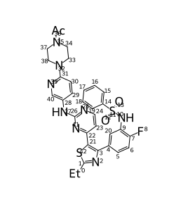 CCc1nc(-c2ccc(F)c(NS(=O)(=O)c3ccccc3)c2)c(-c2ccnc(Nc3ccc(N4CCN(C(C)=O)CC4)nc3)n2)s1